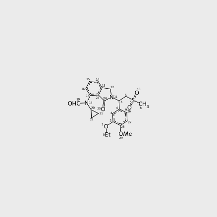 CCOc1cc(C(CS(C)(=O)=O)N2Cc3cccc(N(C=O)C4CC4)c3C2=O)ccc1OC